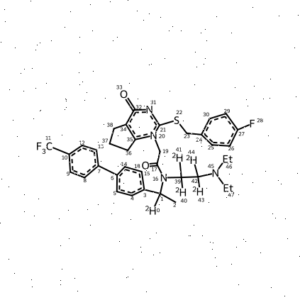 [2H]C(C)(c1ccc(-c2ccc(C(F)(F)F)cc2)cc1)N(C(=O)Cn1c(SCc2ccc(F)cc2)nc(=O)c2c1CCC2)C([2H])([2H])C([2H])([2H])N(CC)CC